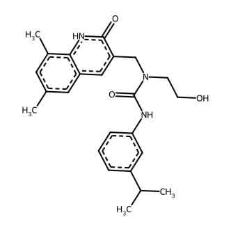 Cc1cc(C)c2[nH]c(=O)c(CN(CCO)C(=O)Nc3cccc(C(C)C)c3)cc2c1